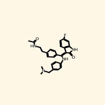 CC(=O)NCCc1ccc(/C(Nc2ccc(CN(C)C)cc2)=C2/C(=O)Nc3cc(F)ccc32)cc1